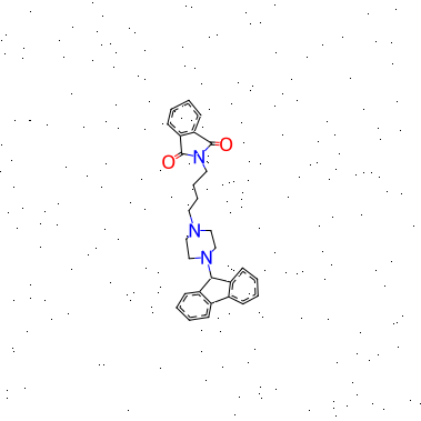 O=C1c2ccccc2C(=O)N1CCCCN1CCN(C2c3ccccc3-c3ccccc32)CC1